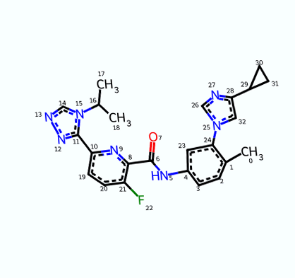 Cc1ccc(NC(=O)c2nc(-c3nncn3C(C)C)ccc2F)cc1-n1cnc(C2CC2)c1